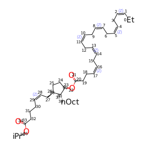 CC/C=C\C/C=C\C/C=C\C/C=C\C/C=C\C/C=C\CCC(=O)O[C@@H]1CC[C@H](C/C=C\CCCC(=O)OC(C)C)[C@H]1CCCCCCCC